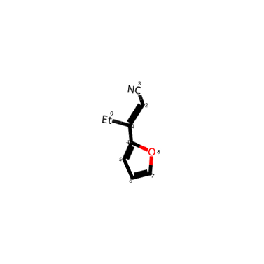 CC/C(=C\C#N)c1ccco1